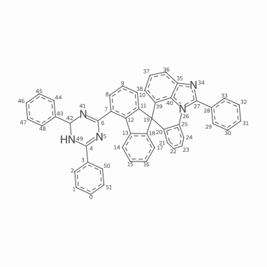 c1ccc(C2=NC(c3cccc4c3-c3ccccc3C43c4ccccc4-n4c(-c5ccccc5)nc5cccc3c54)=NC(c3ccccc3)N2)cc1